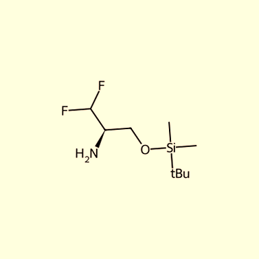 CC(C)(C)[Si](C)(C)OC[C@@H](N)C(F)F